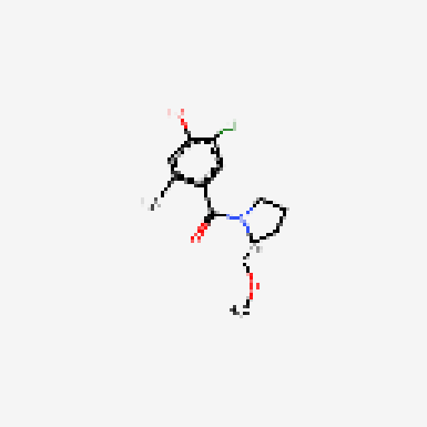 COC[C@H]1CCCN1C(=O)c1cc(Cl)c(O)cc1C